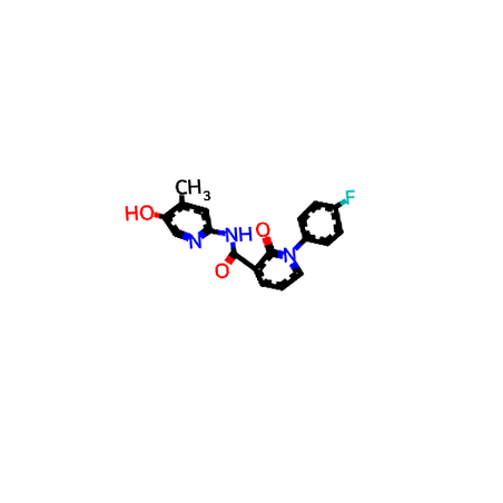 Cc1cc(NC(=O)c2cccn(-c3ccc(F)cc3)c2=O)ncc1O